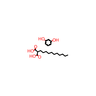 CCCCCCCCCCCC(C(=O)O)C(=O)O.Oc1cccc(O)c1